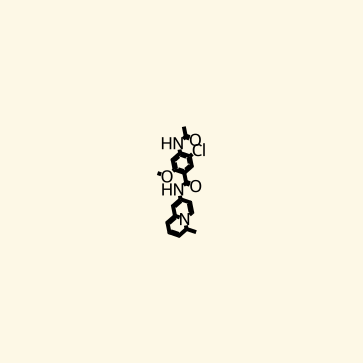 COc1cc(NC(C)=O)c(Cl)cc1C(=O)NC1=CC2=CC=CC(C)N2C=C1